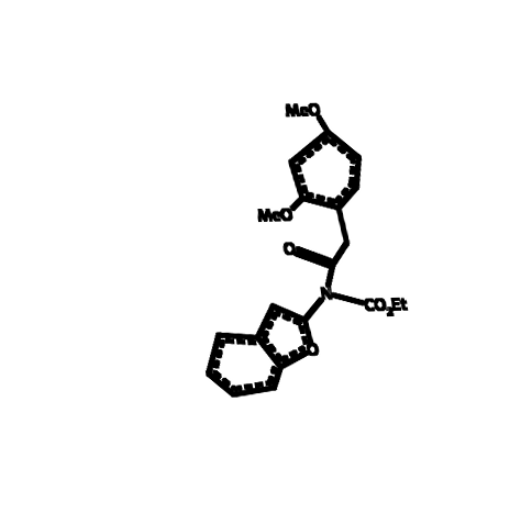 CCOC(=O)N(C(=O)Cc1ccc(OC)cc1OC)c1cc2ccccc2o1